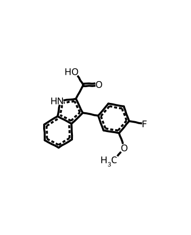 COc1cc(-c2c(C(=O)O)[nH]c3ccccc23)ccc1F